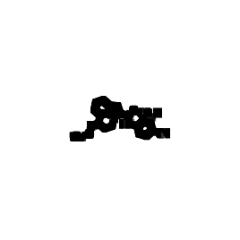 CC(C)(C)ON=C1CCn2c(C(=O)Nc3ccc(C#N)cc3C(=O)O)cc3cccc1c32